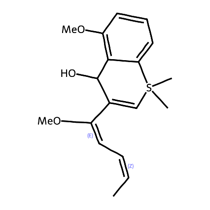 C/C=C\C=C(\OC)C1=CS(C)(C)c2cccc(OC)c2C1O